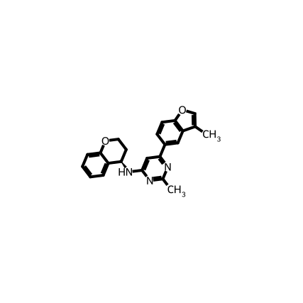 Cc1nc(N[C@@H]2CCOc3ccccc32)cc(-c2ccc3occ(C)c3c2)n1